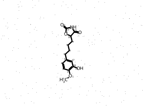 COc1ccc(CCCCC2OC(=O)NC2=O)cc1O